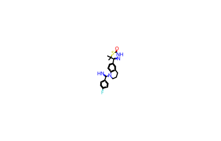 CC1(C)SC(=O)NN=C1c1ccc2c(c1)CCCN2C(=N)c1ccc(F)cc1